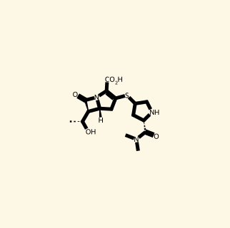 C[C@@H](O)[C@H]1C(=O)N2C(C(=O)O)=C(SC3CN[C@H](C(=O)N(C)C)C3)C[C@H]12